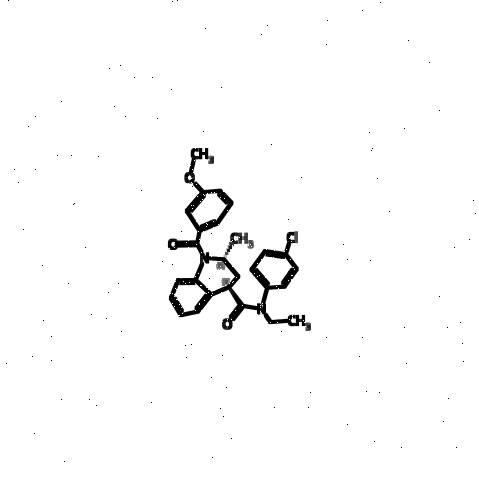 CCN(C(=O)[C@@H]1C[C@@H](C)N(C(=O)c2cccc(OC)c2)c2ccccc21)c1ccc(Cl)cc1